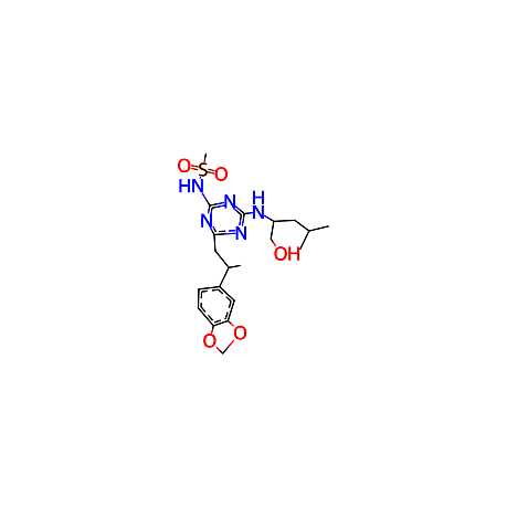 CC(C)CC(CO)Nc1nc(CC(C)c2ccc3c(c2)OCO3)nc(NS(C)(=O)=O)n1